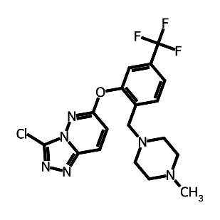 CN1CCN(Cc2ccc(C(F)(F)F)cc2Oc2ccc3nnc(Cl)n3n2)CC1